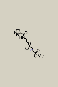 COC(=O)/C=C/C(=O)OCCNC(=O)C1=CCN=N1